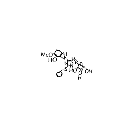 COc1cccc(CNc2nc(SCc3ccccc3)nc3c2ncn3[C@@H]2O[C@H](CO)[C@@H](O)[C@H]2O)c1O